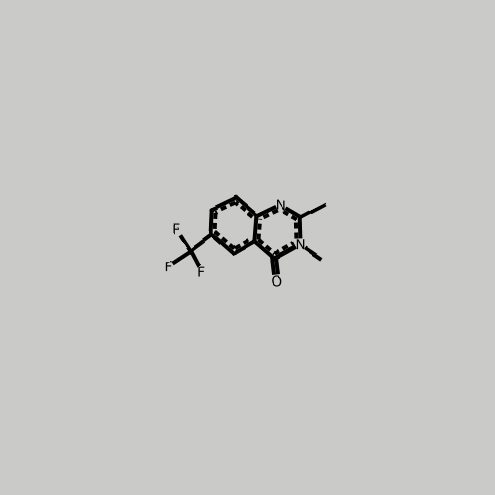 Cc1nc2ccc(C(F)(F)F)cc2c(=O)n1C